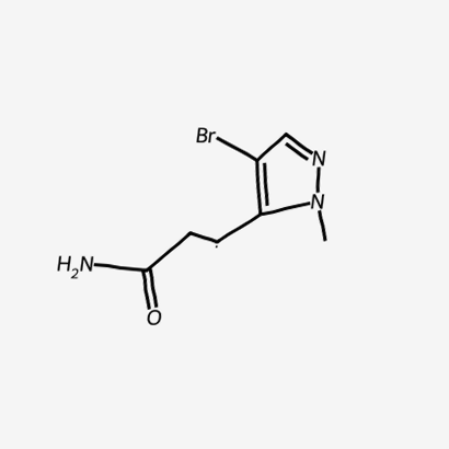 Cn1ncc(Br)c1[CH]CC(N)=O